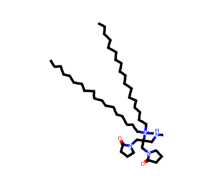 CCCCCCCCCCCCCCCCCC[N+](C)(CCCCCCCCCCCCCCCCCC)C(CNC)(CN1CCCC1=O)CN1CCCC1=O